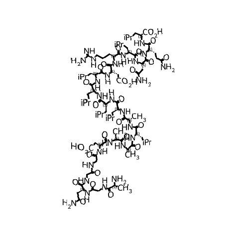 CC(C)C[C@H](NC(=O)[C@H](CCC(N)=O)NC(=O)[C@H](CC(N)=O)NC(=O)[C@H](CC(C)C)NC(=O)[C@H](CCCNC(=N)N)NC(=O)[C@H](CC(=O)O)NC(=O)[C@H](CC(C)C)NC(=O)[C@H](CC(C)C)NC(=O)[C@H](CC(C)C)NC(=O)[C@H](CC(C)C)NC(=O)[C@H](C)NC(=O)[C@H](CC(C)C)NC(=O)[C@H](C)NC(=O)[C@H](C)NC(=O)[C@H](CC(=O)O)NC(=O)CNC(=O)CNC(=O)[C@H](CC(N)=O)NC(=O)CNC(=O)[C@H](C)N)C(=O)O